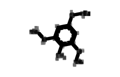 CCCCOc1cc(OCCCC)c(C)c(OCCCC)c1